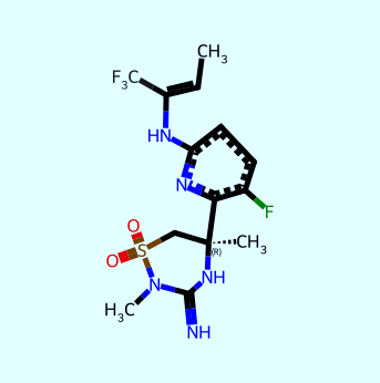 CC=C(Nc1ccc(F)c([C@]2(C)CS(=O)(=O)N(C)C(=N)N2)n1)C(F)(F)F